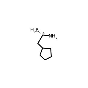 B[C@H](N)CC1CCCC1